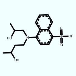 CC(O)CCN(CC(C)O)c1ccc(S(=O)(=O)O)c2ccccc12